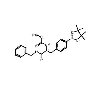 CC(C)(C)OC(=O)N[C@@H](Cc1ccc(B2OC(C)(C)C(C)(C)O2)cc1)C(=O)OCc1ccccc1